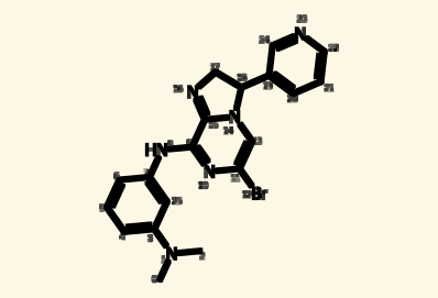 CN(C)c1cccc(NC2=NC(Br)=CN3C2=NCC3c2cccnc2)c1